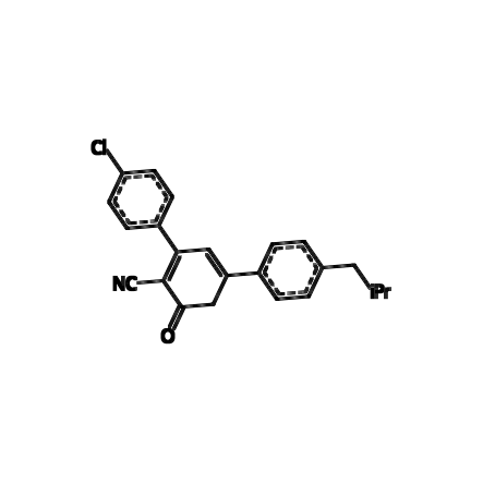 CC(C)Cc1ccc(C2=CC(c3ccc(Cl)cc3)=C(C#N)C(=O)C2)cc1